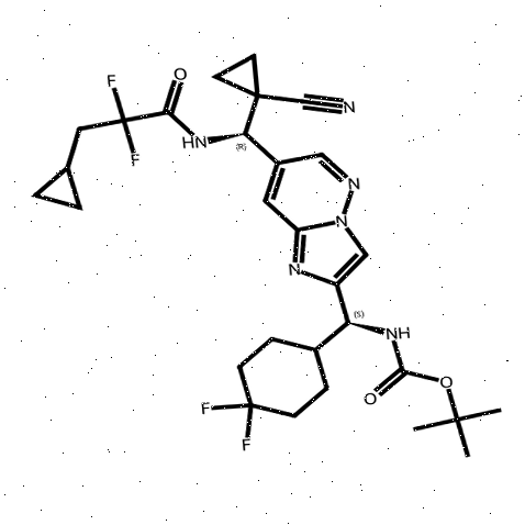 CC(C)(C)OC(=O)N[C@H](c1cn2ncc([C@@H](NC(=O)C(F)(F)CC3CC3)C3(C#N)CC3)cc2n1)C1CCC(F)(F)CC1